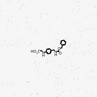 O=C(O)CNc1ccc(CNC(=O)OCc2ccccc2)cc1